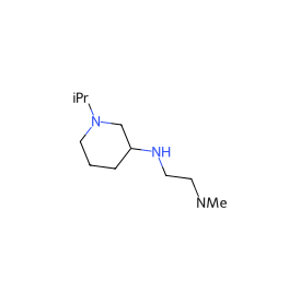 CNCCNC1CCCN(C(C)C)C1